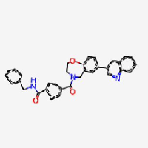 O=C(NCc1ccccc1)c1ccc(C(=O)N2CCOc3ccc(-c4cnc5ccccc5c4)cc3C2)cc1